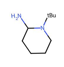 CC(C)(C)N1CCCCC1N